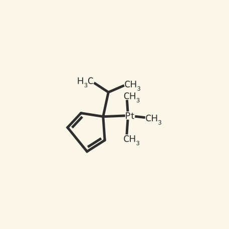 CC(C)[C]1([Pt]([CH3])([CH3])[CH3])C=CC=C1